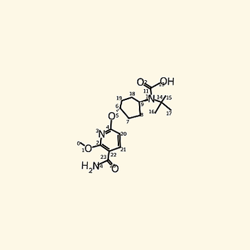 COc1nc(O[C@H]2CC[C@H](N(C(=O)O)C(C)(C)C)CC2)ccc1C(N)=O